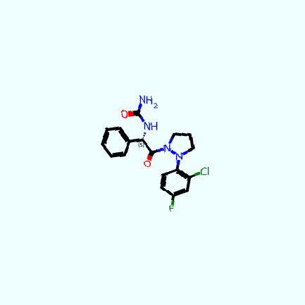 NC(=O)N[C@H](C(=O)N1CCCN1c1ccc(F)cc1Cl)c1ccccc1